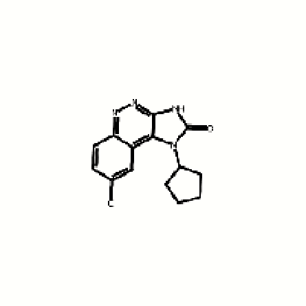 O=c1[nH]c2nnc3ccc(Cl)cc3c2n1C1CCCC1